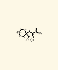 CC(C)NC(=O)CC1(CC(=O)O)CCNCC1